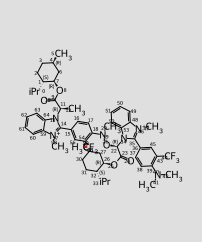 CC(C)[C@@H]1CC[C@@H](C)C[C@H]1OC(=O)[C@@H](C)n1c(-c2ccc(N(C)O[C@H](C(=O)O[C@@H]3C[C@H](C)CC[C@H]3C(C)C)n3c(-c4ccc(N(C)C)c(C(F)(F)F)c4)[n+](C)c4ccccc43)c(C(F)(F)F)c2)[n+](C)c2ccccc21